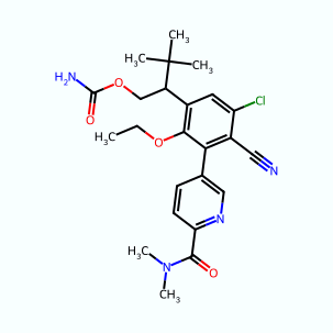 CCOc1c(C(COC(N)=O)C(C)(C)C)cc(Cl)c(C#N)c1-c1ccc(C(=O)N(C)C)nc1